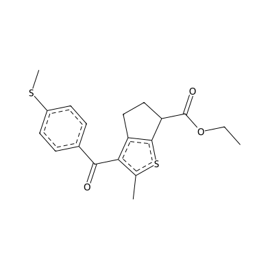 CCOC(=O)C1CCc2c1sc(C)c2C(=O)c1ccc(SC)cc1